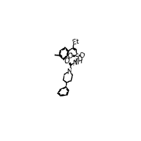 CC/C(=C/S(=O)(=O)NC(=O)N1CCC(c2ccccc2)CC1)c1ccc(C)cc1